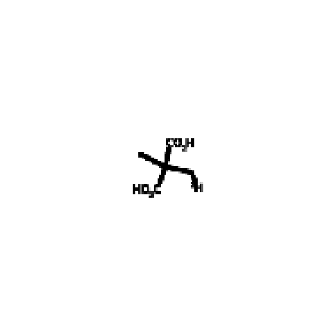 [2H]CC(C)(C(=O)O)C(=O)O